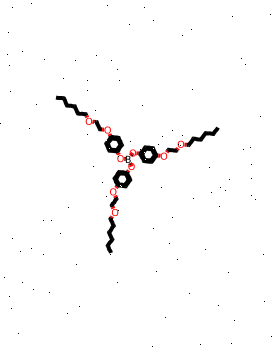 CCCCCCOCCOc1ccc(OB(Oc2ccc(OCCOCCCCCC)cc2)Oc2ccc(OCCOCCCCCC)cc2)cc1